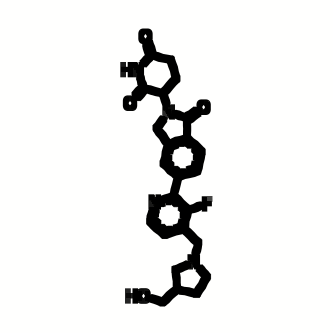 O=C1CCC(N2Cc3cc(-c4nccc(CN5CCC(CO)C5)c4F)ccc3C2=O)C(=O)N1